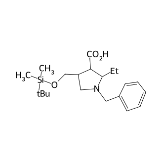 CCC1C(C(=O)O)C(CO[Si](C)(C)C(C)(C)C)CN1Cc1ccccc1